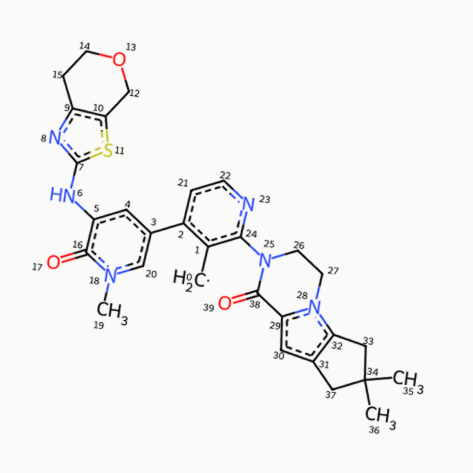 [CH2]c1c(-c2cc(Nc3nc4c(s3)COCC4)c(=O)n(C)c2)ccnc1N1CCn2c(cc3c2CC(C)(C)C3)C1=O